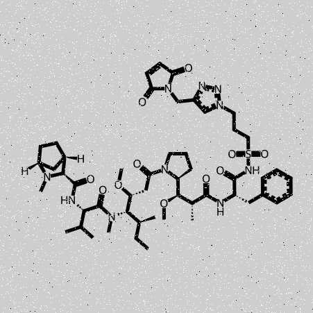 CC[C@H](C)[C@@H]([C@@H](CC(=O)N1CCC[C@H]1[C@H](OC)[C@@H](C)C(=O)N[C@@H](Cc1ccccc1)C(=O)NS(=O)(=O)CCCn1cc(CN2C(=O)C=CC2=O)nn1)OC)N(C)C(=O)[C@@H](NC(=O)[C@@H]1[C@H]2CC[C@H](C2)N1C)C(C)C